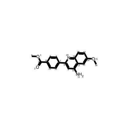 COC(=O)c1ccc(-c2cc(N)c3cc(OC)ccc3n2)cc1